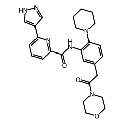 O=C(Nc1cc(CC(=O)N2CCOCC2)ccc1N1CCCCC1)c1cccc(-c2cn[nH]c2)n1